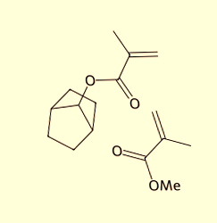 C=C(C)C(=O)OC.C=C(C)C(=O)OC1C2CCC1CC2